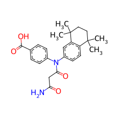 CC1(C)CCC(C)(C)c2cc(N(C(=O)CC(N)=O)c3ccc(C(=O)O)cc3)ccc21